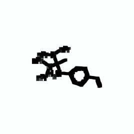 C=Cc1ccc([SiH2]C(C)(N(CCC)CCC)N(CCC)CCC)cc1